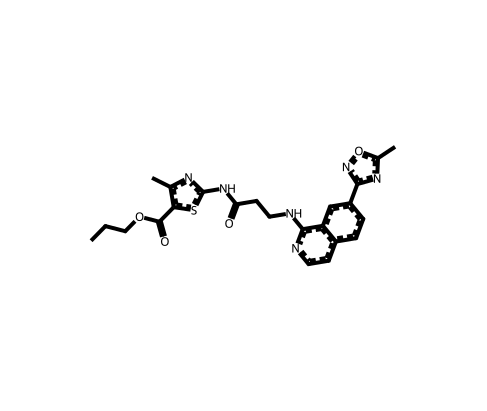 CCCOC(=O)c1sc(NC(=O)CCNc2nccc3ccc(-c4noc(C)n4)cc23)nc1C